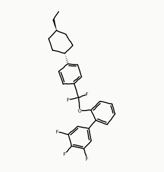 CC[C@H]1CC[C@H](c2ccc(C(F)(F)Oc3ccccc3-c3cc(F)c(F)c(F)c3)cc2)CC1